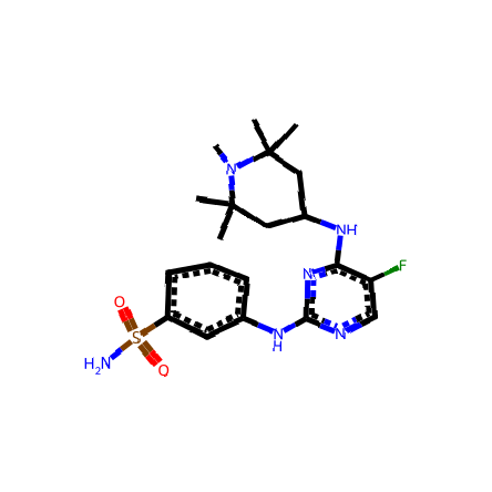 CN1C(C)(C)CC(Nc2nc(Nc3cccc(S(N)(=O)=O)c3)ncc2F)CC1(C)C